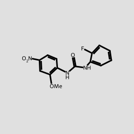 COc1cc([N+](=O)[O-])ccc1NC(=O)Nc1ccccc1F